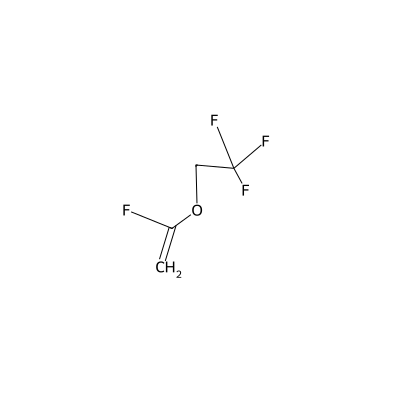 C=C(F)OCC(F)(F)F